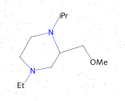 CCN1CCN(C(C)C)C(COC)C1